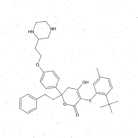 Cc1ccc(C(C)(C)C)c(SC2=C(O)CC(CCc3ccccc3)(c3ccc(OCCC4CNCCN4)cc3)OC2=O)c1